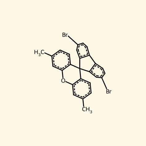 Cc1ccc2c(c1)Oc1cc(C)ccc1C21c2cc(Br)ccc2-c2ccc(Br)cc21